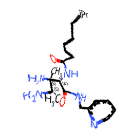 CC(C)CCCCC(=O)N[C@H](C(=O)NCc1ccccn1)[C@@](C)(N)[C@H](C)N